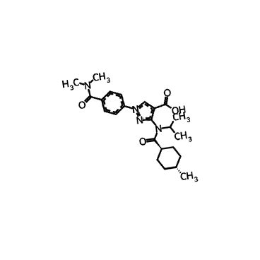 CC(C)N(c1nn(-c2ccc(C(=O)N(C)C)cc2)cc1C(=O)O)C(=O)[C@H]1CC[C@H](C)CC1